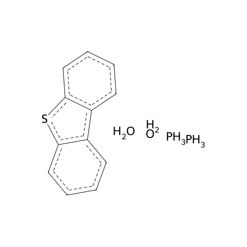 O.O.P.P.c1ccc2c(c1)sc1ccccc12